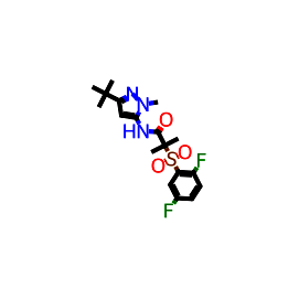 Cn1nc(C(C)(C)C)cc1NC(=O)C(C)(C)S(=O)(=O)c1cc(F)ccc1F